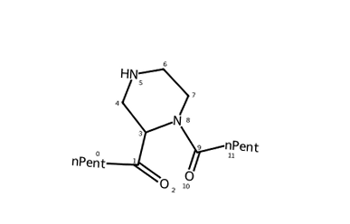 CCCCCC(=O)C1CNCCN1C(=O)CCCCC